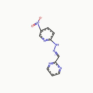 O=[N+]([O-])c1ccc(N/N=C/c2ncccn2)nc1